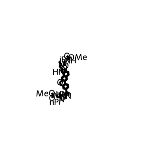 CCCN(Cc1ncc(-c2ccc3c(c2)COc2cc4c(ccc5nc(CN(CC(C)C)C(=O)CNC(=O)OC)[nH]c54)cc2-3)[nH]1)C(=O)CNC(=O)OC